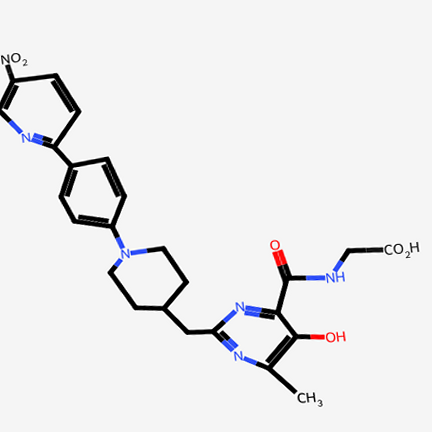 Cc1nc(CC2CCN(c3ccc(-c4ccc([N+](=O)[O-])cn4)cc3)CC2)nc(C(=O)NCC(=O)O)c1O